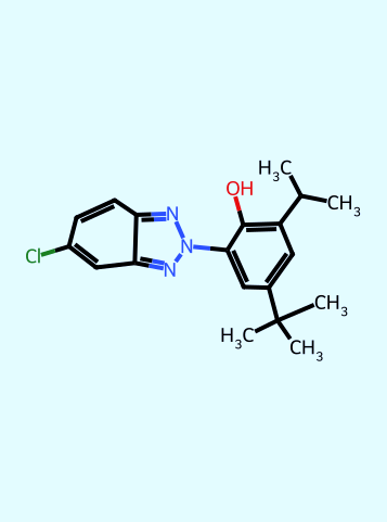 CC(C)c1cc(C(C)(C)C)cc(-n2nc3ccc(Cl)cc3n2)c1O